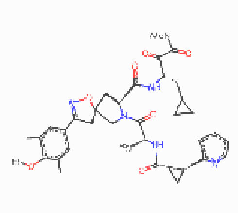 CCOc1c(C)cc(C2=NO[C@]3(C2)C[C@@H](C(=O)N[C@@H](CC2CC2)C(=O)C(=O)NC)N(C(=O)[C@@H](NC(=O)[C@H]2C[C@@H]2c2ccccn2)C(C)(C)C)C3)cc1C